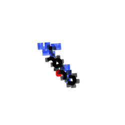 C/C(=N\NC(=N)N)c1ccc(NC(=O)c2cn3ccccc3n2)cc1